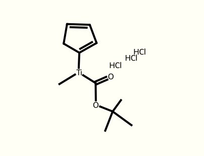 Cl.Cl.Cl.[CH3][Ti]([C](=O)OC(C)(C)C)[C]1=CC=CC1